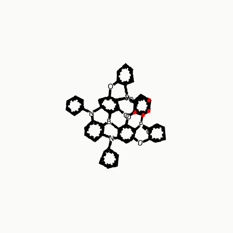 O=P12c3ccccc3Oc3cc4c(c(c31)Oc1ccccc12)B1c2c(cccc2N(c2ccccc2)c2cc3c5c(c21)Oc1ccccc1P5(=O)c1ccccc1O3)N4c1ccccc1